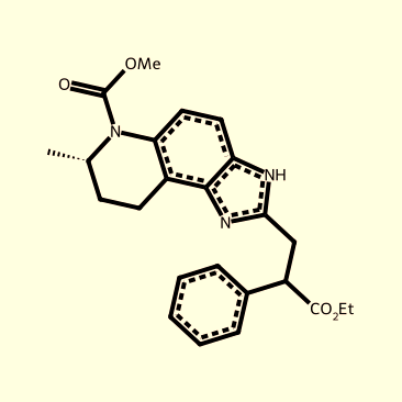 CCOC(=O)C(Cc1nc2c3c(ccc2[nH]1)N(C(=O)OC)[C@@H](C)CC3)c1ccccc1